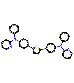 c1ccc(N(c2ccc(-c3ccc(-c4ccc(N(c5ccccc5)c5ccccn5)cc4)s3)cc2)c2ccccn2)cc1